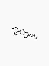 N[C@H]1CCc2cc(C(=O)O)ccc2C1